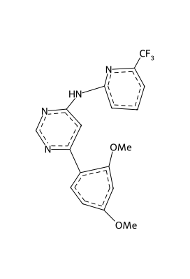 COc1ccc(-c2cc(Nc3cccc(C(F)(F)F)n3)ncn2)c(OC)c1